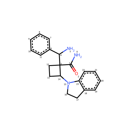 NC(=O)C1(C(N)c2ccccc2)CCC1N1CCc2ccccc21